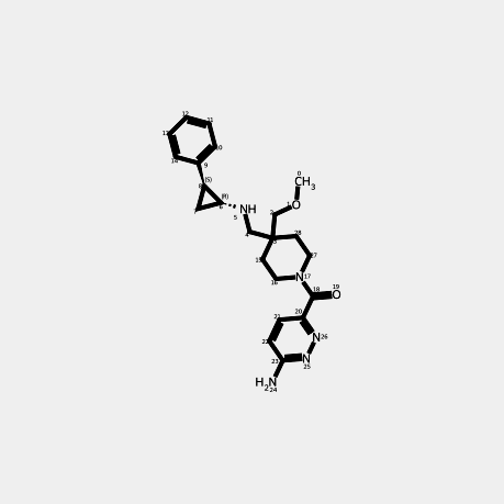 COCC1(CN[C@@H]2C[C@H]2c2ccccc2)CCN(C(=O)c2ccc(N)nn2)CC1